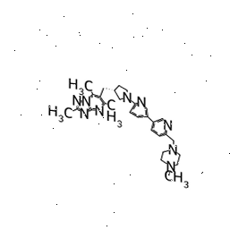 Cc1nc2nc(C)c(C[C@@H]3CCN(c4ccc(-c5ccc(CN6CCN(C)CC6)nc5)cn4)C3)c(C)n2n1